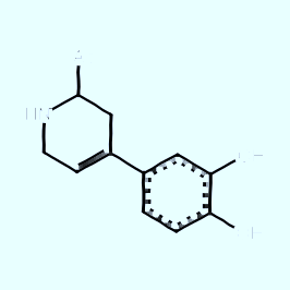 CC(=O)C1CC(c2ccc(O)c(O)c2)=CCN1